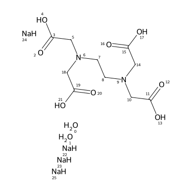 O.O.O=C(O)CN(CCN(CC(=O)O)CC(=O)O)CC(=O)O.[NaH].[NaH].[NaH].[NaH]